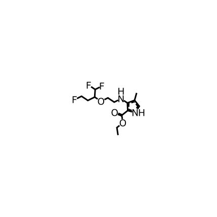 CCOC(=O)c1[nH]cc(C)c1NCCOC(CCF)C(F)F